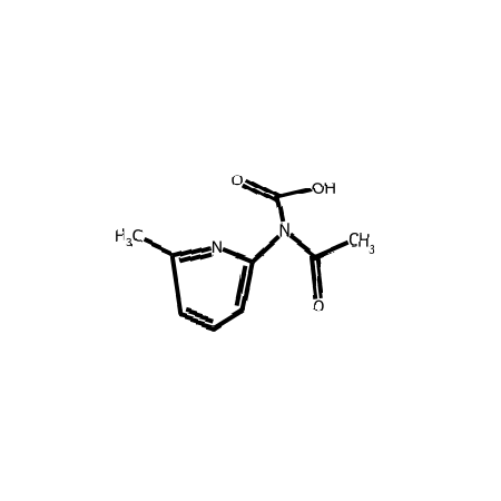 CC(=O)N(C(=O)O)c1cccc(C)n1